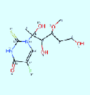 COC(CCO)C(O)C(C)(O)n1cc(F)c(=O)[nH]c1=S